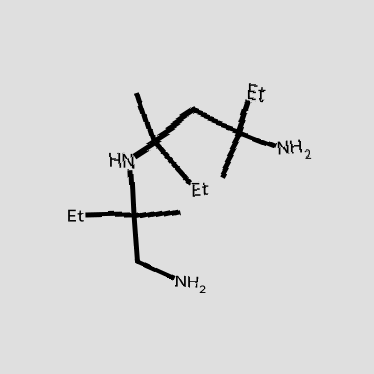 CCC(C)(N)CC(C)(CC)NC(C)(CC)CN